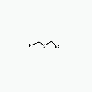 [CH2]CCSCCC